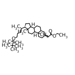 CCOC(=O)/C=C1/CCC2(C)C(CCC3[C@@H]2CCC2(C)[C@@H]([C@H](C)CCCO[Si](C)(C)C(C)(C)C)CC[C@@H]32)C1